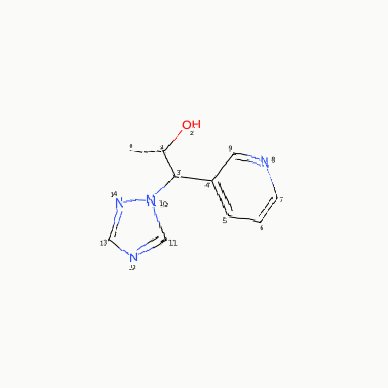 CC(O)C(c1cccnc1)n1cncn1